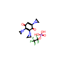 O=C1C=C(N2CC2)C(=O)C(N2CC2)=C1N1CC1.O=P(O)(O)OC(F)(F)C(F)(F)F